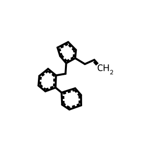 C=CCc1ccccc1Cc1ccccc1-c1ccccc1